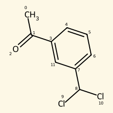 CC(=O)c1cccc(C(Cl)Cl)c1